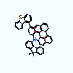 CC1(C)c2ccccc2-c2c(N(c3ccc(-c4cccc5sc6ccccc6c45)cc3)c3ccccc3-c3cccc4c3C(c3ccccc3)CC=C4)cccc21